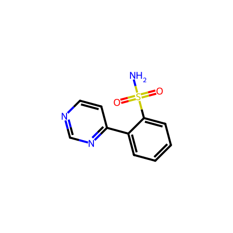 NS(=O)(=O)c1ccccc1-c1ccncn1